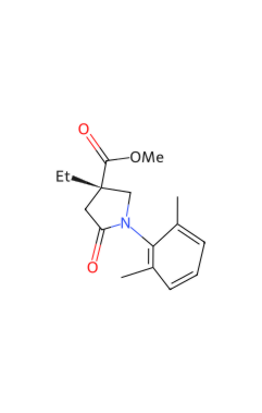 CC[C@]1(C(=O)OC)CC(=O)N(c2c(C)cccc2C)C1